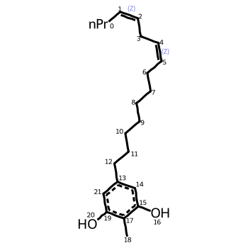 CCC/C=C\C/C=C\CCCCCCCc1cc(O)c(C)c(O)c1